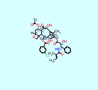 C/C=C(\C)C(=O)N[C@@H](c1ccccc1)[C@@H](O)C(=O)O[C@H]1C[C@@]2(O)[C@@H](OC(=O)c3cccc(Cl)c3)C3[C@](C)(C(=O)[C@H](O)C(=C1C)C2(C)C)[C@@H](OC(=O)CC)C[C@H]1OC[C@@]31OC(C)=O